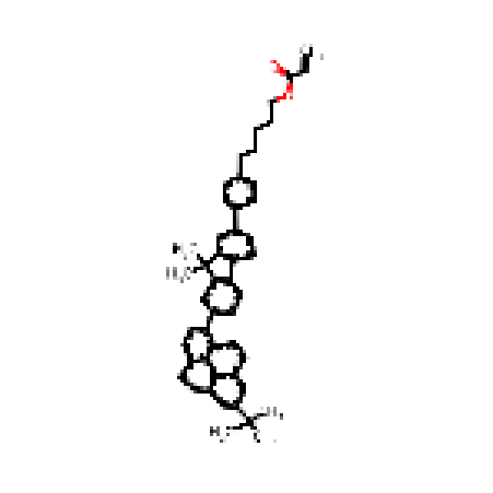 C=CC(=O)OCCCCCc1ccc(-c2ccc3c(c2)C(C)(C)c2cc(-c4ccc5ccc6cc(C(C)(C)C)cc7ccc4c5c67)ccc2-3)cc1